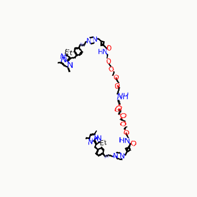 CCc1nn2c(C)cc(C)nc2c1Cc1ccc(/C=C/CN2CCN(CC34CC(C(=O)NCCOCCOCCOCCOCCNCCOCCOCCOCCOCCNC(=O)C56CC(CN7CCN(C/C=C/c8ccc(Cc9c(CC)nn%10c(C)cc(C)nc9%10)cc8)CC7)(C5)C6)(C3)C4)CC2)cc1